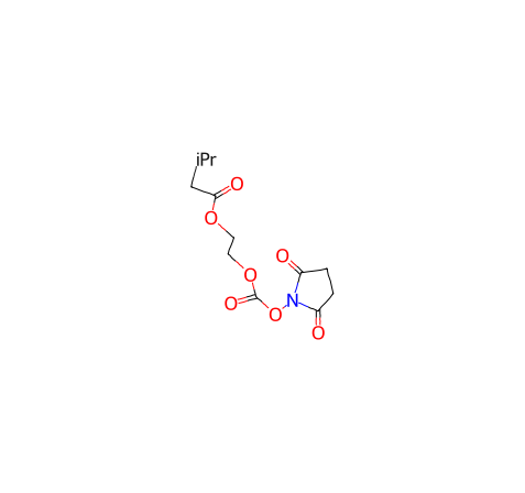 CC(C)CC(=O)OCCOC(=O)ON1C(=O)CCC1=O